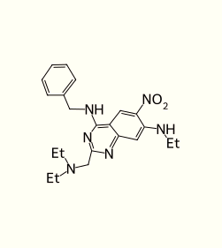 CCNc1cc2nc(CN(CC)CC)nc(NCc3ccccc3)c2cc1[N+](=O)[O-]